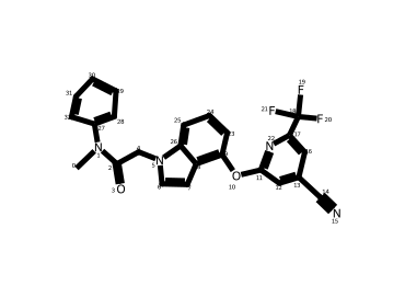 CN(C(=O)Cn1ccc2c(Oc3cc(C#N)cc(C(F)(F)F)n3)cccc21)c1ccccc1